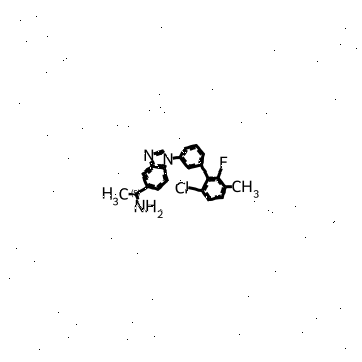 Cc1ccc(Cl)c(-c2cccc(-n3cnc4cc([C@H](C)N)ccc43)c2)c1F